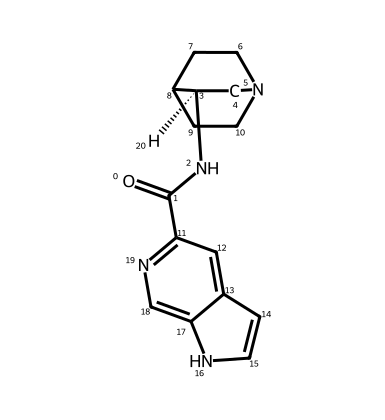 O=C(N[C@@H]1CN2CCC1CC2)c1cc2cc[nH]c2cn1